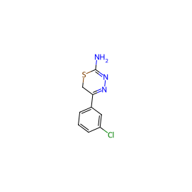 NC1=NN=C(c2cccc(Cl)c2)CS1